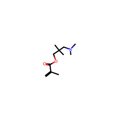 C=C(C)C(=O)OCC(C)(C)CN(C)C